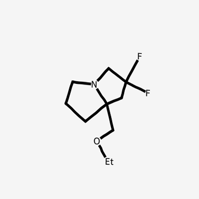 CCOCC12CCCN1CC(F)(F)C2